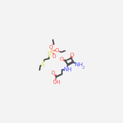 CCOP(=O)(OCC)SCCSCC.Nc1c(NCCC(=O)O)c(=O)c1=O